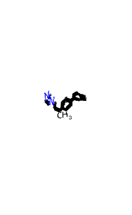 C/C(=C/Cn1ccnc1)c1ccc(-c2ccccc2)cc1